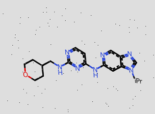 CC(C)n1cnc2cnc(Nc3ccnc(NCC4CCOCC4)n3)cc21